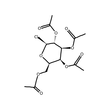 CC(=O)OC[C@H]1O[C@@H](Cl)[C@H](OC(C)=O)[C@@H](OC(C)=O)[C@H]1OC(C)=O